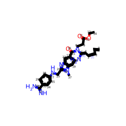 C=C/C=C\C=C(/N)N(CCC(=O)OCC)C(=O)c1ccc2c(c1)nc(CNc1ccc(C(=N)N)cc1)n2C